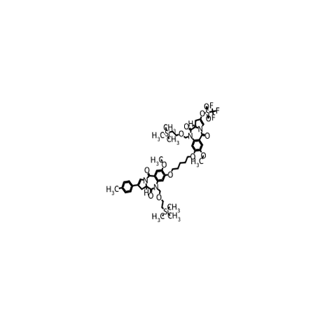 COc1cc2c(cc1OCCCCCOc1cc3c(cc1OC)C(=O)N1C=C(c4ccc(C)cc4)C[C@H]1C(=O)N3COCC[Si](C)(C)C)N(COCC[Si](C)(C)C)C(=O)[C@@H]1CC(OS(=O)(=O)C(F)(F)F)=CN1C2=O